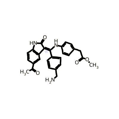 COC(=O)Cc1ccc(N/C(=C2\C(=O)Nc3ccc(C(C)=O)cc32)c2ccc(CN)cc2)cc1